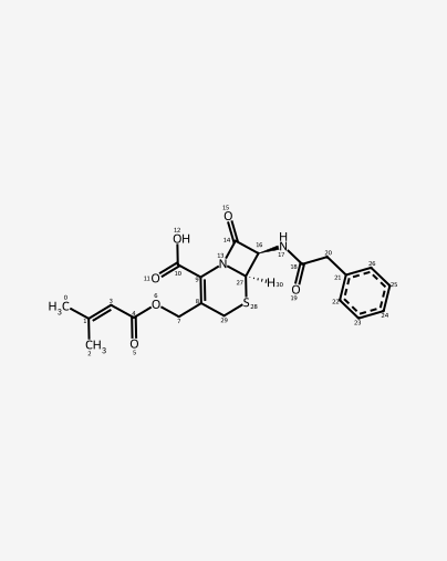 CC(C)=CC(=O)OCC1=C(C(=O)O)N2C(=O)[C@@H](NC(=O)Cc3ccccc3)[C@H]2SC1